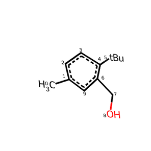 Cc1ccc(C(C)(C)C)c(CO)c1